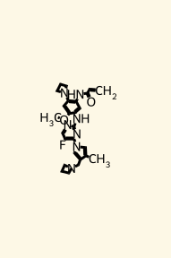 C=CC(=O)Nc1cc(Nc2ncc(F)c(-n3cc(C)c(CN4CCC4)c3)n2)c(OC)cc1N1CCC1